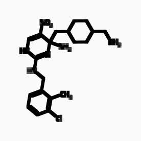 Cc1c(Cl)cccc1CNC1=NC(N)(CC2CCC(CN)CC2)C([N+](=O)[O-])=CN1